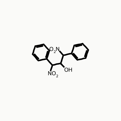 O=[N+]([O-])C([C](O)C(c1ccccc1)[N+](=O)[O-])c1ccccc1